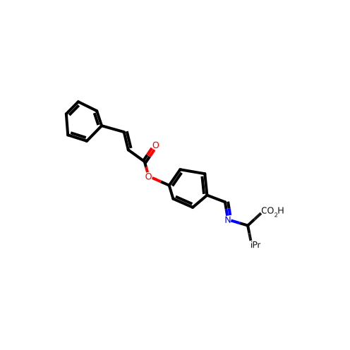 CC(C)C(/N=C/c1ccc(OC(=O)/C=C/c2ccccc2)cc1)C(=O)O